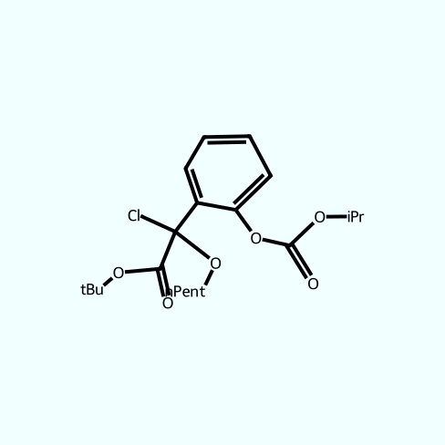 CCCCCOC(Cl)(C(=O)OC(C)(C)C)c1ccccc1OC(=O)OC(C)C